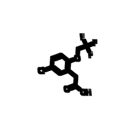 O=C(O)Cc1cc(Cl)ccc1OCC(F)(F)F